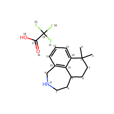 CC1(C)CCC2CCNCc3cccc1c32.O=C(O)C(F)(F)F